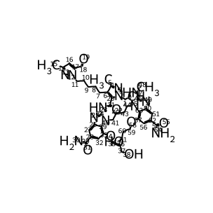 CCn1nc(C)c(CCCCCn2nc(C)cc2C=O)c1C(=O)Nc1nc2cc(C(N)=O)cc(OCCCO)c2n1CCCCn1c(NC)nc2cc(C(N)=O)cc(OCCCO)c21